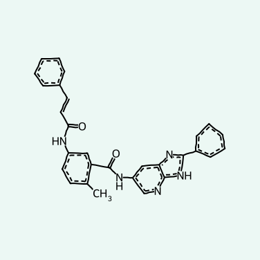 Cc1ccc(NC(=O)/C=C/c2ccccc2)cc1C(=O)Nc1cnc2[nH]c(-c3ccccc3)nc2c1